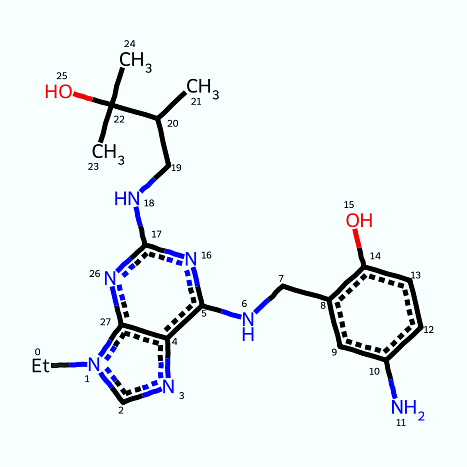 CCn1cnc2c(NCc3cc(N)ccc3O)nc(NCC(C)C(C)(C)O)nc21